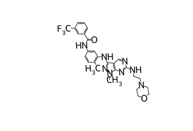 Cc1ccc(NC(=O)c2cccc(C(F)(F)F)c2)cc1Nc1nn(C)c2nc(NCCN3CCOCC3)ncc12